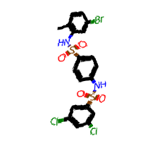 Cc1ccc(Br)cc1NS(=O)(=O)c1ccc(NS(=O)(=O)c2cc(Cl)cc(Cl)c2)cc1